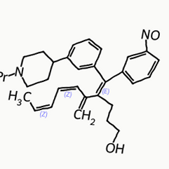 C=C(/C=C\C=C/C)/C(CCCO)=C(/c1cccc(N=O)c1)c1cccc(C2CCN(C(C)C)CC2)c1